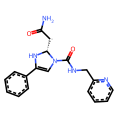 NC(=O)[CH][C@H]1NC(c2ccccc2)=CN1C(=O)NCc1ccccn1